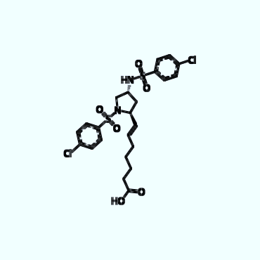 O=C(O)CCCCC=C[C@@H]1C[C@@H](NS(=O)(=O)c2ccc(Cl)cc2)CN1S(=O)(=O)c1ccc(Cl)cc1